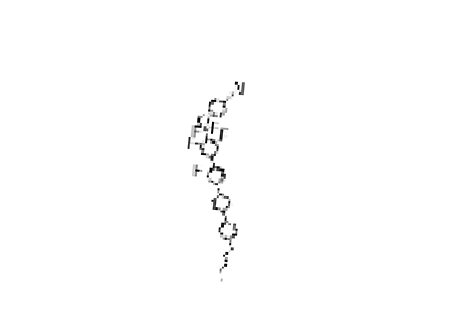 CCCCCc1ccc(-c2ccc(-c3ccc(-c4cc(F)c(C(F)(F)Oc5ccc(C#N)cc5)c(F)c4)c(F)c3)cc2)cc1